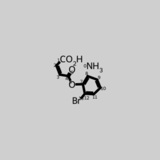 N.O=C(O)/C=C\C(=O)Oc1ccccc1Br